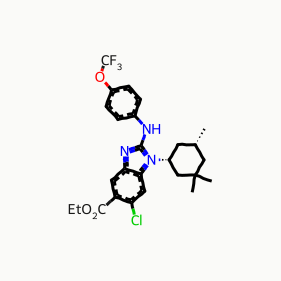 CCOC(=O)c1cc2nc(Nc3ccc(OC(F)(F)F)cc3)n([C@@H]3C[C@H](C)CC(C)(C)C3)c2cc1Cl